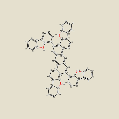 c1ccc2c(c1)oc1c(-c3cc4cc5c(cc(-c6cccc7c6oc6ccccc67)c6c5ccc5c7ccccc7oc56)cc4c4ccc5c6ccccc6oc5c34)cccc12